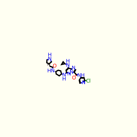 O=C(C[C@H]1CCNC1)N[C@H]1CC[C@H](Nc2cc(NC3CC3)c3ncc(C(=O)Nc4ccnc(Cl)c4)n3n2)CC1